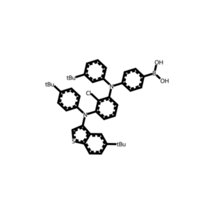 CC(C)(C)c1ccc(N(c2cccc(N(c3ccc(B(O)O)cc3)c3cccc(C(C)(C)C)c3)c2Cl)c2csc3ccc(C(C)(C)C)cc23)cc1